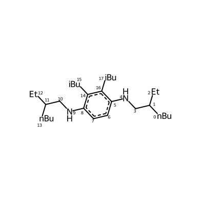 CCCCC(CC)CNc1ccc(NCC(CC)CCCC)c(C(C)CC)c1C(C)CC